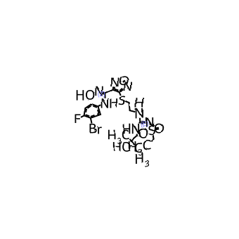 CCS(=O)(=O)/N=C(/NCCSc1nonc1/C(=N/O)Nc1ccc(F)c(Br)c1)NCC(C)(C)O